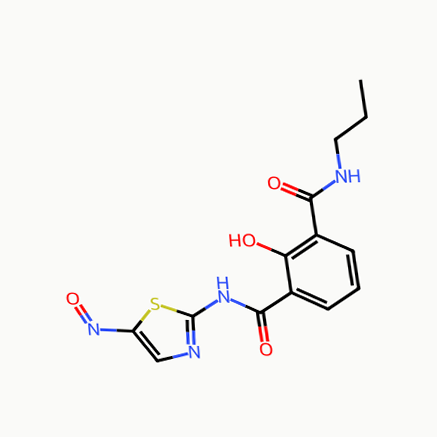 CCCNC(=O)c1cccc(C(=O)Nc2ncc(N=O)s2)c1O